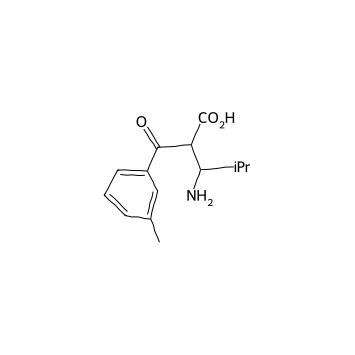 Cc1cccc(C(=O)C(C(=O)O)C(N)C(C)C)c1